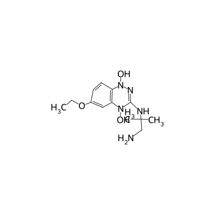 CCOc1ccc2c(c1)N(O)C(NC(C)(C)CN)=NN2O